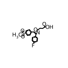 CS(=O)(=O)c1ccc(-c2oc(CCC(=O)O)nc2-c2ccc(F)cc2)cc1